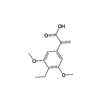 C=C(C(=O)O)c1cc(OC)c(CC)c(OC)c1